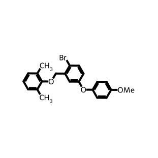 COc1ccc(Oc2ccc(Br)c(COc3c(C)cccc3C)c2)cc1